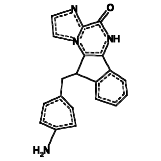 Nc1ccc(CC2c3ccccc3-c3[nH]c(=O)c4nccn4c32)cc1